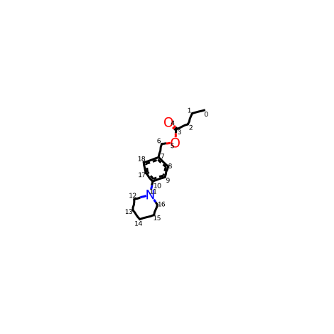 CCCC(=O)OCc1ccc(N2CCCCC2)cc1